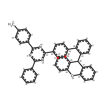 Cc1ccc(-c2nc(-c3ccccc3)nc(-c3ccc(-c4ccccc4C4c5ccccc5Oc5ccccc54)cc3)n2)cc1